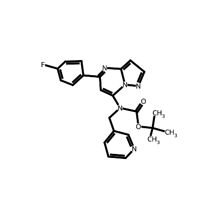 CC(C)(C)OC(=O)N(Cc1cccnc1)c1cc(-c2ccc(F)cc2)nc2ccnn12